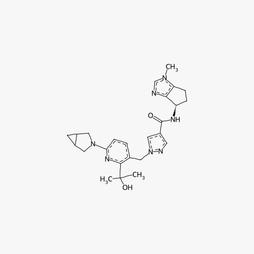 Cn1cnc2c1CC[C@H]2NC(=O)c1cnn(Cc2ccc(N3CC4CC4C3)nc2C(C)(C)O)c1